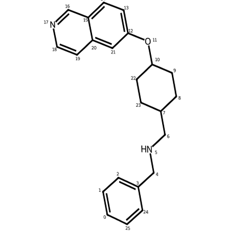 c1ccc(CNCC2CCC(Oc3ccc4cnccc4c3)CC2)cc1